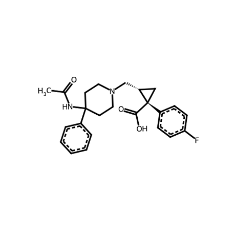 CC(=O)NC1(c2ccccc2)CCN(C[C@@H]2C[C@@]2(C(=O)O)c2ccc(F)cc2)CC1